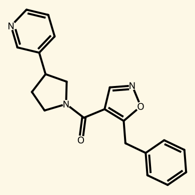 O=C(c1cnoc1Cc1ccccc1)N1CCC(c2cccnc2)C1